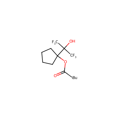 CCC(C)C(=O)OC1(C(O)(C(F)(F)F)C(F)(F)F)CCCC1